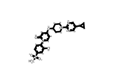 CS(=O)(=O)c1ccc(-n2ccc(OC3CCN(c4ncc(C5CC5)cn4)CC3)cc2=O)c(Cl)c1